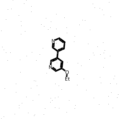 CCOc1cncc(-c2cccnc2)c1